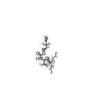 CCCOP(=O)(OCC)S[C@@H](C)C(=O)NC(=O)ON=CC(C)(C)C#N